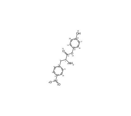 NC(Cc1ccc([N+](=O)[O-])cc1)C(=O)Oc1ccc(O)cc1